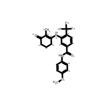 COc1ccc(NC(=O)c2ccc(C(F)(F)F)c(NC3=C(C)C(=O)CCC3)c2)cc1